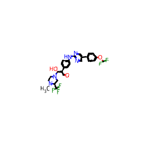 CN1CCN(C(O)C(C=O)c2ccc(Nc3ncc(-c4ccc(OC(F)F)cc4)cn3)cc2)CC1C(F)(F)F